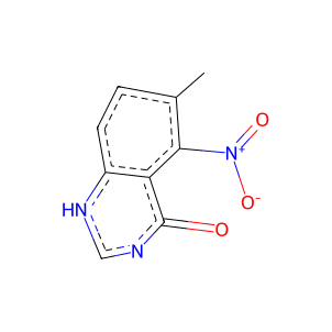 Cc1ccc2[nH]cnc(=O)c2c1[N+](=O)[O-]